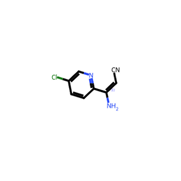 N#C/C=C(/N)c1ccc(Cl)cn1